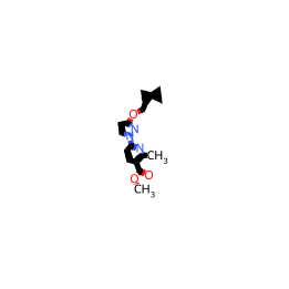 COC(=O)c1ccc(-n2ccc(OCC3CC34CC4)n2)nc1C